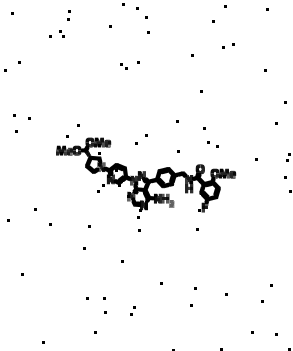 COc1ccc(F)cc1C(=O)NCc1ccc(-c2nn(-c3ccc(N4CC[C@@H](C(OC)OC)C4)nc3)c3ncnc(N)c23)cc1